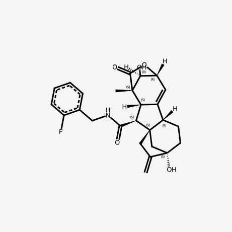 C=C1C[C@]23C[C@@]1(O)CC[C@H]2C1=C[C@H]2OC(=O)[C@@](C)([C@H]1[C@@H]3C(=O)NCc1ccccc1F)[C@H]2O